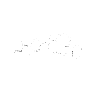 COC1(c2cccc(S(=O)(=O)c3ccc4c(ccc(=O)n4C)c3)c2)CCOCC1